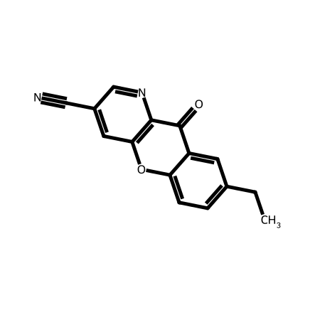 CCc1ccc2oc3cc(C#N)cnc3c(=O)c2c1